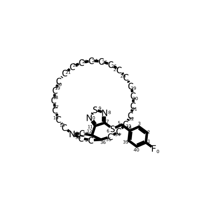 Fc1ccc(CSc2nsnc2C2CN3CCCCCCCCCCCCCCCCCCCCCC2CC3)cc1